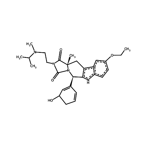 CCOc1ccc2[nH]c3c(c2c1)C[C@@]1(C)C(=O)N(CCN(C)C(C)C)C(=O)N1[C@@H]3C1=CC(O)CC=C1